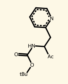 CC(=O)C(Cc1ccccn1)NC(=O)OC(C)(C)C